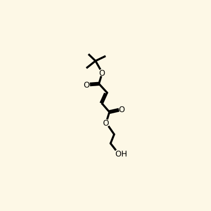 CC(C)(C)OC(=O)/C=C/C(=O)OCCO